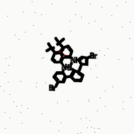 CC(C)(C)c1ccc(NB2c3c(cccc3C3C=CC(Br)=C3)-c3cc(Br)ccc3N2c2ccc(C(C)(C)C)cc2)cc1